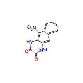 O=c1[nH]c2cc3ccccc3c([N+](=O)[O-])c2[nH]c1=O